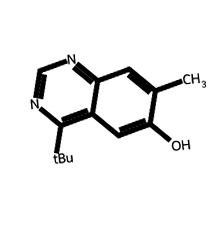 Cc1cc2ncnc(C(C)(C)C)c2cc1O